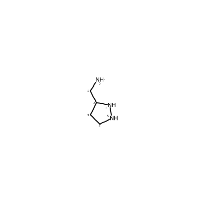 [NH]CC1CCNN1